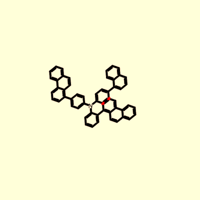 c1ccc(N(c2ccc(-c3cccc4ccccc34)cc2)c2ccc(-c3cccc4c3ccc3ccccc34)cc2)c(-c2cccc3c2ccc2ccccc23)c1